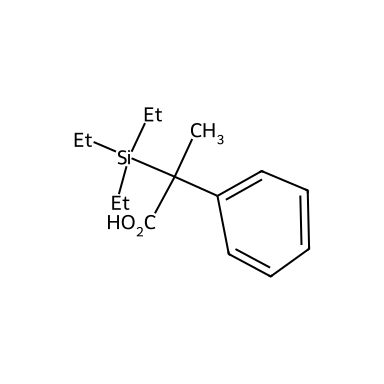 CC[Si](CC)(CC)C(C)(C(=O)O)c1ccccc1